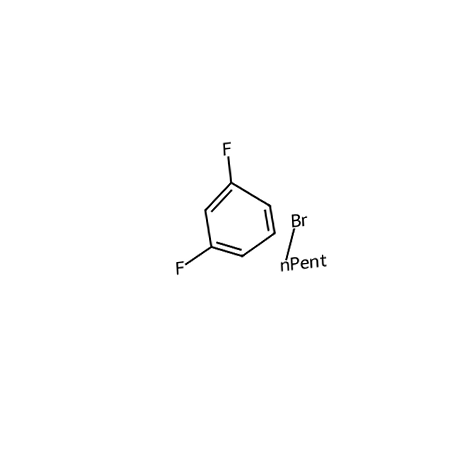 CCCCCBr.Fc1cccc(F)c1